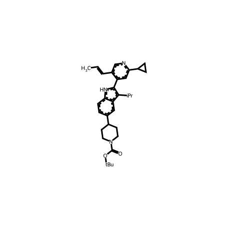 C/C=C/c1cnc(C2CC2)cc1-c1[nH]c2ccc(C3CCN(C(=O)OC(C)(C)C)CC3)cc2c1C(C)C